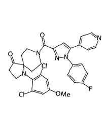 COc1cc(Cl)c(N2CCC(=O)C23CCN(C(=O)c2cc(-c4ccncc4)n(-c4ccc(F)cc4)n2)CC3)c(Cl)c1